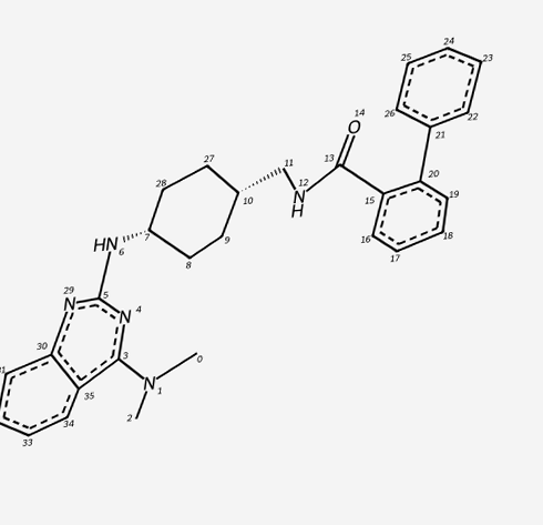 CN(C)c1nc(N[C@H]2CC[C@@H](CNC(=O)c3ccccc3-c3ccccc3)CC2)nc2ccccc12